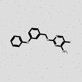 Nc1nc(OCc2cccc(Oc3ccccc3)c2)ncc1F